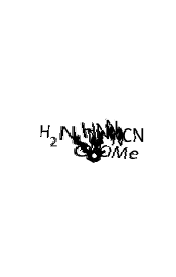 COc1cccc(OCCCN)c1-n1cnc(Nc2cnc(C#N)cn2)c1